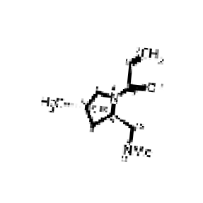 C=CC(=O)N1C[C@@H](C)C[C@@H]1CNC